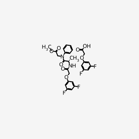 COC(=O)CN(C(=O)[C@H](C)NC(=O)COc1cc(F)cc(F)c1)c1ccccc1.O=C(O)COc1cc(F)cc(F)c1